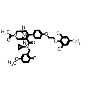 COc1ccc(F)c(CN(C(=O)C2=C(c3ccc(OCCOc4c(Cl)cc(C)cc4Cl)cc3)C[C@@H]3CN(C(C)=O)C[C@H]2N3)C2CC2)c1